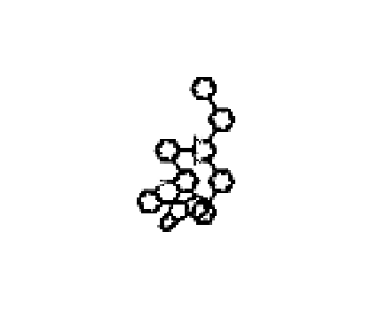 c1ccc(-c2cccc(-c3cc(-c4cccc(-c5ccccc5)c4)nc(-c4ccccc4-c4cccc5c4Sc4ccccc4C54c5ccccc5-c5ccccc54)n3)c2)cc1